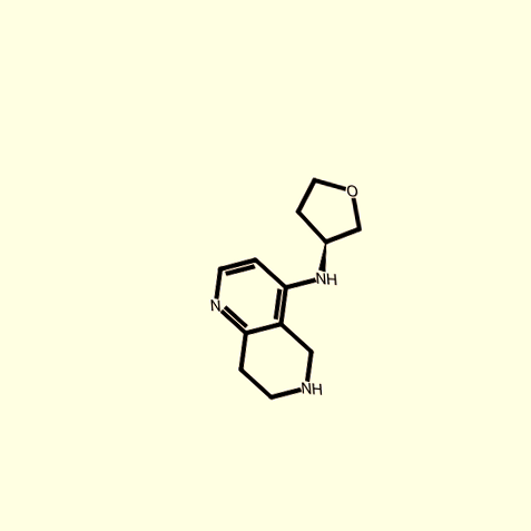 c1cc(N[C@H]2CCOC2)c2c(n1)CCNC2